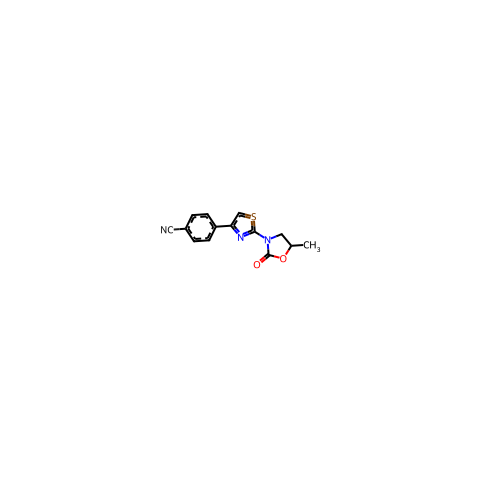 CC1CN(c2nc(-c3ccc(C#N)cc3)cs2)C(=O)O1